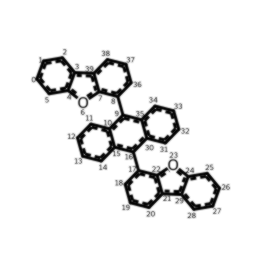 c1ccc2c(c1)oc1c(-c3c4ccccc4c(-c4cccc5c4oc4ccccc45)c4ccccc34)cccc12